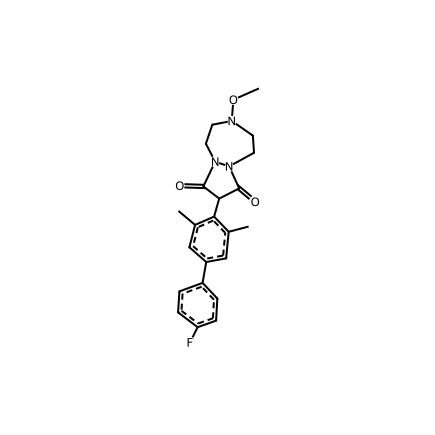 CON1CCN2C(=O)C(c3c(C)cc(-c4ccc(F)cc4)cc3C)C(=O)N2CC1